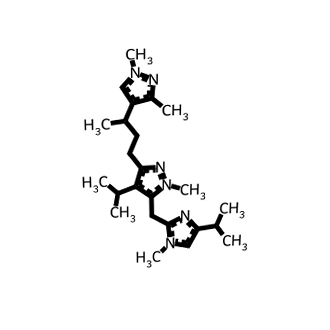 Cc1nn(C)cc1C(C)CCc1nn(C)c(Cc2nc(C(C)C)cn2C)c1C(C)C